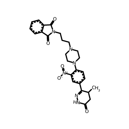 CC1CC(=O)NN=C1c1ccc(N2CCN(CCCN3C(=O)c4ccccc4C3=O)CC2)c([N+](=O)[O-])c1